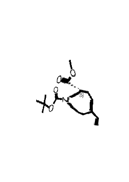 C=CC1=CC[C@@H](C(=O)OC)N(C(=O)OC(C)(C)C)CC1